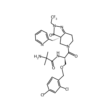 CC(C)(N)C(=O)N[C@H](COCc1ccc(Cl)cc1Cl)C(=O)N1CCC2=NN(CC(F)(F)F)C(=O)[C@]2(Cc2ccccn2)C1